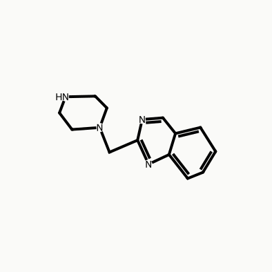 c1ccc2nc(CN3CCNCC3)ncc2c1